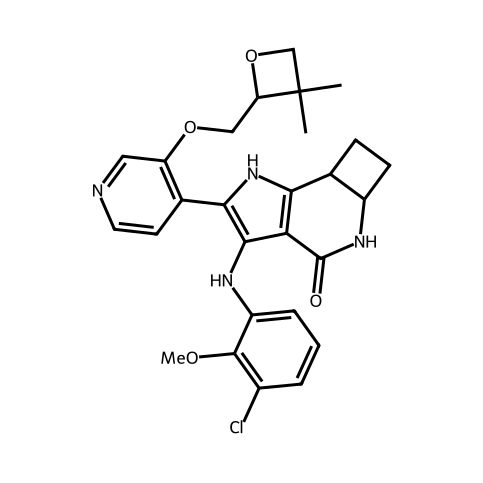 COc1c(Cl)cccc1Nc1c(-c2ccncc2OCC2OCC2(C)C)[nH]c2c1C(=O)NC1CCC21